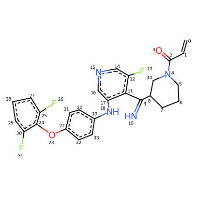 C=CC(=O)N1CCCC(C(=N)c2c(F)cncc2Nc2ccc(Oc3c(F)cccc3F)cc2)C1